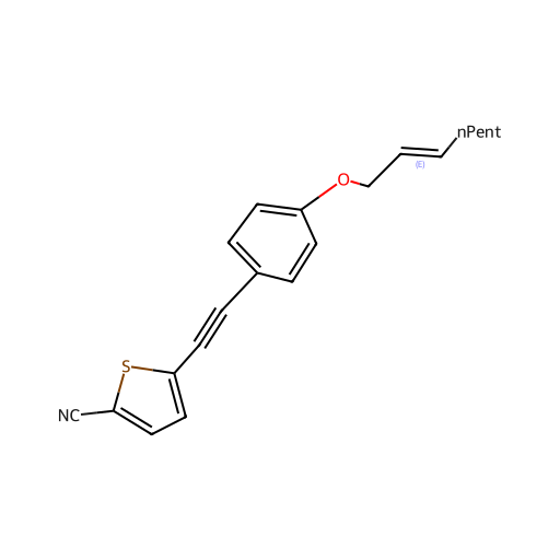 CCCCC/C=C/COc1ccc(C#Cc2ccc(C#N)s2)cc1